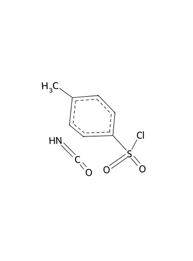 Cc1ccc(S(=O)(=O)Cl)cc1.N=C=O